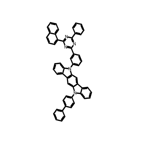 c1ccc(-c2ccc(-n3c4ccccc4c4cc5c(cc43)c3ccccc3n5-c3cccc(-c4nc(-c5ccccc5)nc(-c5cccc6ccccc56)n4)c3)cc2)cc1